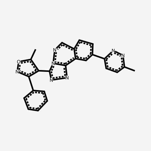 Cc1ccc(-c2ccc3cnn4c(-c5c(-c6ccccc6)noc5C)nnc4c3c2)nn1